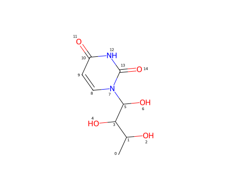 CC(O)C(O)C(O)n1ccc(=O)[nH]c1=O